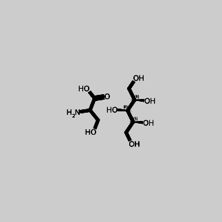 NC(CO)C(=O)O.OC[C@@H](O)[C@H](O)[C@@H](O)CO